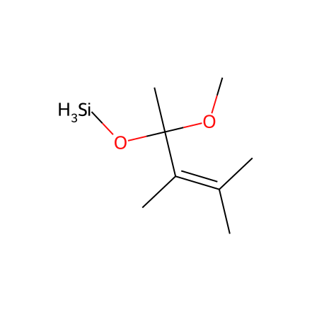 COC(C)(O[SiH3])C(C)=C(C)C